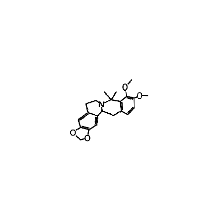 COc1ccc2c(c1OC)C(C)(C)N1CCc3cc4c(cc3C1C2)OCO4